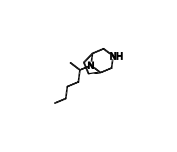 CCCCC(C)N1C2CCC1CNC2